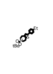 CCc1ccc(-c2cc3c(s2)CCN(C(=O)OC(C)(C)C)CC3)cc1